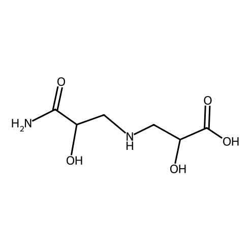 NC(=O)C(O)CNCC(O)C(=O)O